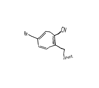 CCCCCCc1ccc(Br)cc1C#N